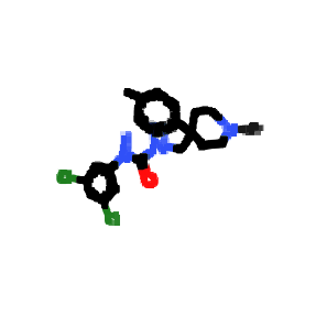 CCCN1CCC(CNC(=O)Nc2cc(Cl)cc(Cl)c2)(c2ccc(C)cc2)CC1